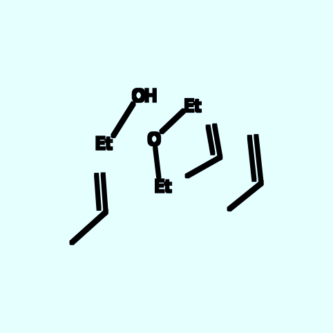 C=CC.C=CC.C=CC.CCO.CCOCC